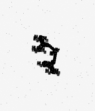 CC(C)(C)c1ccc(-c2nc(-c3ccc(/C=C/CCCCCc4cc(Br)c(CCCCC/C=C/c5ccc(-c6nc(-c7ccc(C(C)(C)C)cc7)nc(-c7ccc(C(C)(C)C)cc7)n6)cc5)cc4Br)cc3)nc(-c3ccc(C(C)(C)C)cc3)n2)cc1